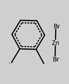 [Br][Zn][Br].[CH2]c1ccccc1C